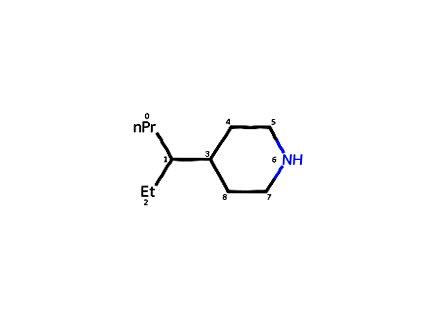 CCCC(CC)C1CCNCC1